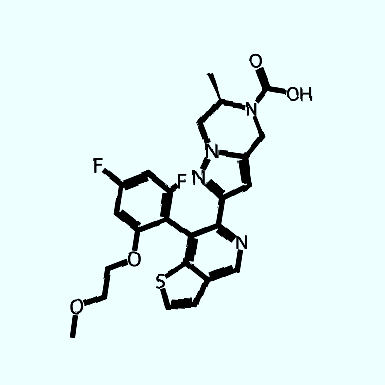 COCCOc1cc(F)cc(F)c1-c1c(-c2cc3n(n2)C[C@@H](C)N(C(=O)O)C3)ncc2ccsc12